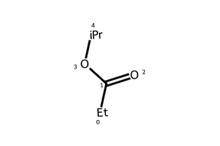 [CH2]CC(=O)OC([CH2])C